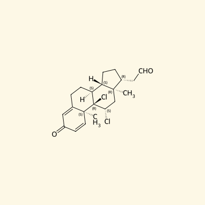 C[C@]12C[C@H](Cl)[C@@]3(Cl)[C@@H](CCC4=CC(=O)C=C[C@@]43C)[C@@H]1CC[C@@H]2CC=O